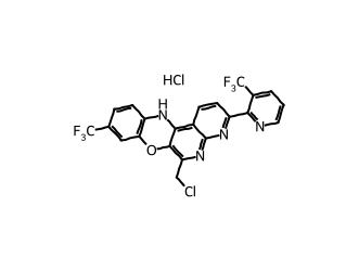 Cl.FC(F)(F)c1ccc2c(c1)Oc1c(CCl)nc3nc(-c4ncccc4C(F)(F)F)ccc3c1N2